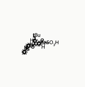 CC(C)(C)/C=C/c1ccc(C(Cc2ccc(C(=O)NCCS(=O)(=O)O)cc2)C(=O)Nc2ccc3nc(-c4ccccc4)sc3c2)cc1